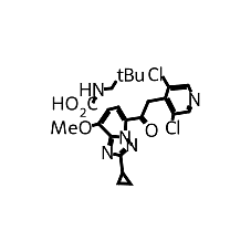 CC(C)(C)CNC(=O)O.COc1ccc(C(=O)Cc2c(Cl)cncc2Cl)n2nc(C3CC3)nc12